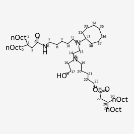 CCCCCCCCC(CCCCCCCC)CC(=O)NCCCCCN(CCN(CCO)CCCCCOC(=O)CC(CCCCCCCC)CCCCCCCC)C1CCCCCCC1